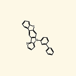 c1ccc(-c2cccc(-n3c4cc5sc6ccccc6c5cc4c4ncccc43)c2)cc1